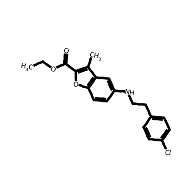 CCOC(=O)c1oc2ccc(NCCc3ccc(Cl)cc3)cc2c1C